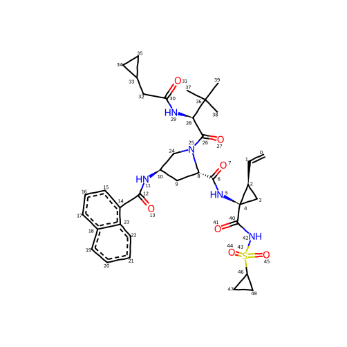 C=C[C@H]1C[C@]1(NC(=O)[C@@H]1C[C@@H](NC(=O)c2cccc3ccccc23)CN1C(=O)[C@@H](NC(=O)CC1CC1)C(C)(C)C)C(=O)NS(=O)(=O)C1CC1